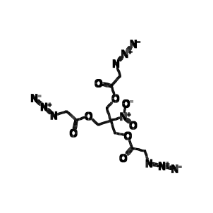 [N-]=[N+]=NCC(=O)OCC(COC(=O)CN=[N+]=[N-])(COC(=O)CN=[N+]=[N-])[N+](=O)[O-]